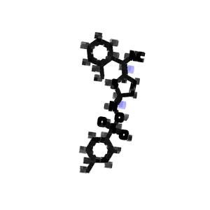 [C-]#[N+]/C(=C1C=C/C(=N\OS(=O)(=O)c2ccc(C)cc2)S\1)c1ccccc1C